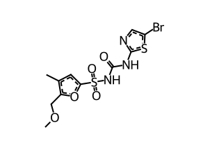 COCc1oc(S(=O)(=O)NC(=O)Nc2ncc(Br)s2)cc1C